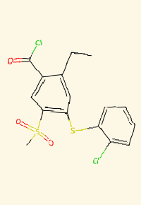 CCc1cc(Sc2ccccc2Cl)c(S(C)(=O)=O)cc1C(=O)Cl